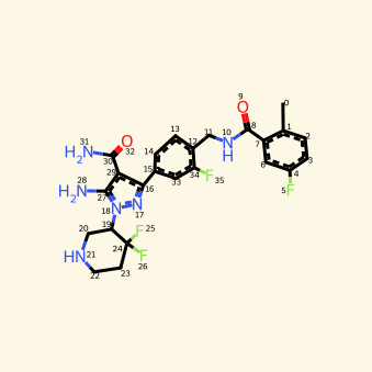 Cc1ccc(F)cc1C(=O)NCc1ccc(-c2nn(C3CNCCC3(F)F)c(N)c2C(N)=O)cc1F